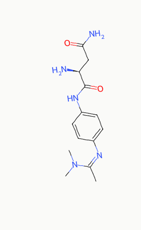 CC(=Nc1ccc(NC(=O)[C@@H](N)CC(N)=O)cc1)N(C)C